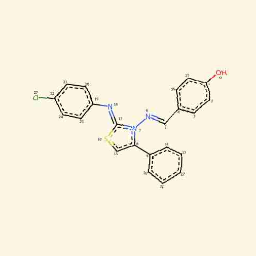 Oc1ccc(/C=N/n2c(-c3ccccc3)cs/c2=N\c2ccc(Cl)cc2)cc1